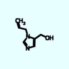 C=CCn1cncc1CO